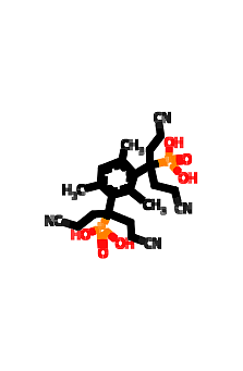 Cc1cc(C)c(C(CCC#N)(CCC#N)P(=O)(O)O)c(C)c1C(CCC#N)(CCC#N)P(=O)(O)O